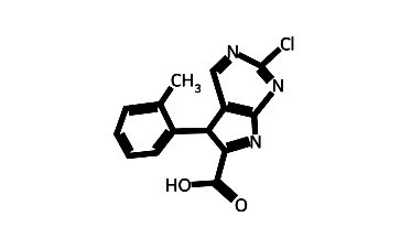 Cc1ccccc1C1C(C(=O)O)=Nc2nc(Cl)ncc21